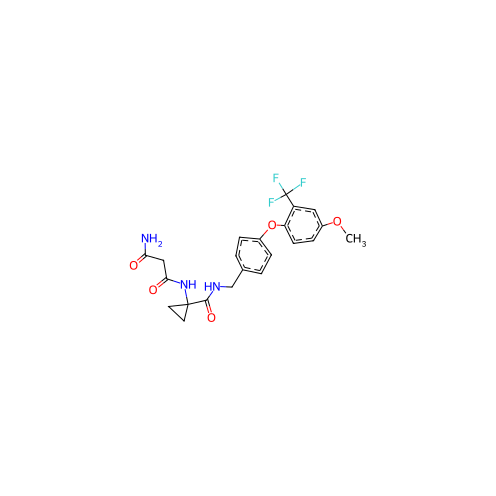 COc1ccc(Oc2ccc(CNC(=O)C3(NC(=O)CC(N)=O)CC3)cc2)c(C(F)(F)F)c1